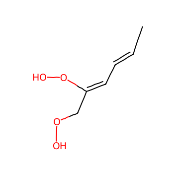 CC=CC=C(COO)OO